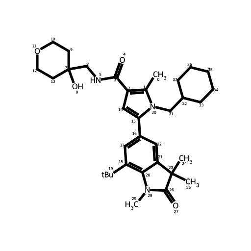 Cc1c(C(=O)NCC2(O)CCOCC2)cc(-c2cc(C(C)(C)C)c3c(c2)C(C)(C)C(=O)N3C)n1CC1CCCCC1